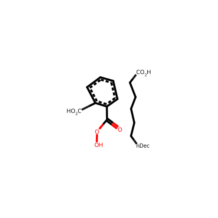 CCCCCCCCCCCCCCCC(=O)O.O=C(O)c1ccccc1C(=O)OO